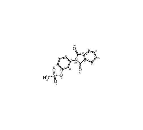 CS(=O)(=O)Oc1cccc(N2C(=O)c3ccccc3C2=O)c1